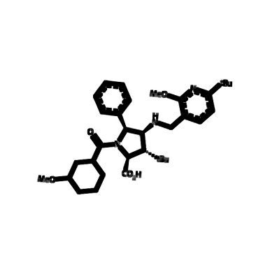 COc1nc(C(C)(C)C)ccc1CN[C@H]1[C@H](C(C)(C)C)[C@@H](C(=O)O)N(C(=O)C2CCCC(OC)C2)[C@H]1c1ccccc1